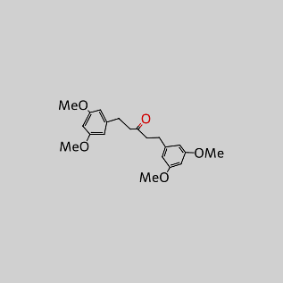 COc1cc(CCC(=O)CCc2cc(OC)cc(OC)c2)cc(OC)c1